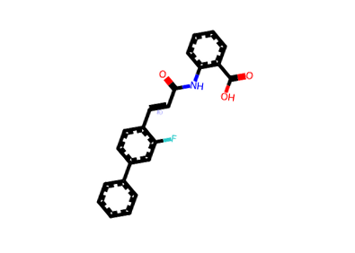 O=C(/C=C/c1ccc(-c2ccccc2)cc1F)Nc1ccccc1C(=O)O